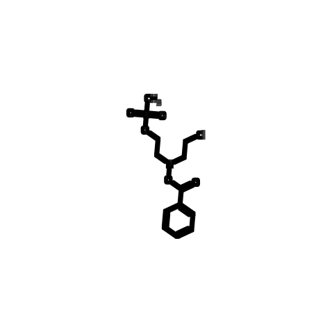 CS(=O)(=O)OCCN(CCCl)OC(=O)c1ccccc1